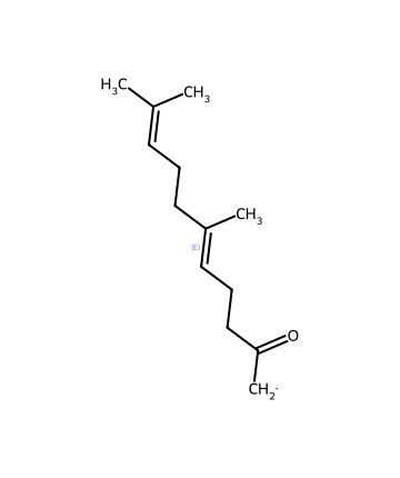 [CH2]C(=O)CC/C=C(\C)CCC=C(C)C